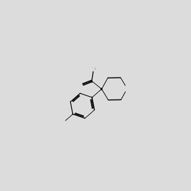 NC(=O)C1(c2ccc(F)cc2)CCOCC1